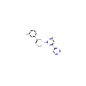 Cc1cccc(C2=CCCN(c3nc(-c4ccncn4)cc(=O)n3C)C2)c1